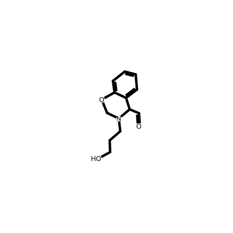 O=CC1c2ccccc2OCN1CCCO